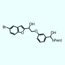 CCCCCC(O)c1cccc(OCC(O)c2cc3cc(Br)ccc3o2)c1